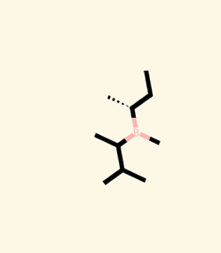 CC[C@@H](C)B(C)C(C)C(C)C